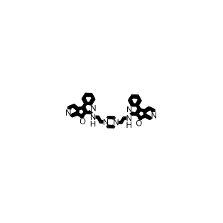 O=C1c2cnccc2-c2c1c(NCCN1CCN(CCNc3nc4ccccc4c4c3C(=O)c3cnccc3-4)CC1)nc1ccccc21